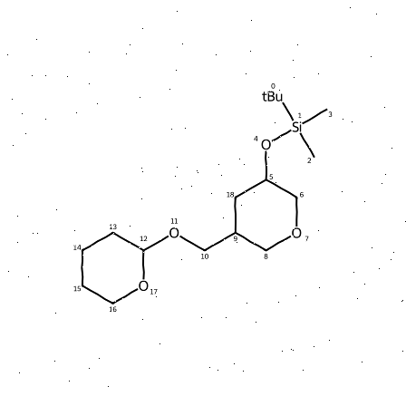 CC(C)(C)[Si](C)(C)OC1COCC(COC2CCCCO2)C1